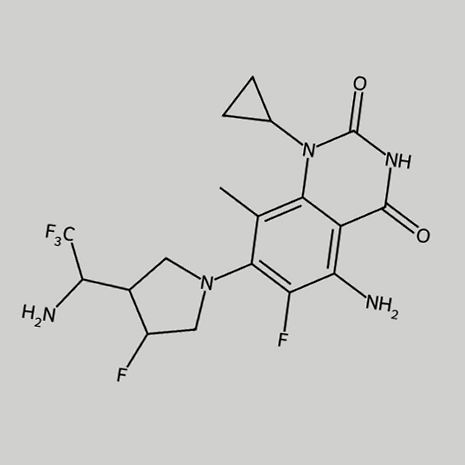 Cc1c(N2CC(F)C(C(N)C(F)(F)F)C2)c(F)c(N)c2c(=O)[nH]c(=O)n(C3CC3)c12